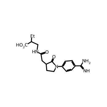 CCC(CNC(=O)CC1CCN(c2ccc(C(=N)N)cc2)C1=O)C(=O)O